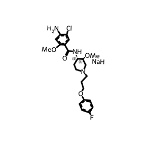 COc1cc(N)c(Cl)cc1C(=O)N[C@H]1CCN(CCCOc2ccc(F)cc2)C[C@@H]1OC.[NaH]